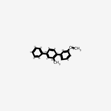 COc1[c]ccc(-c2ccc(-c3ccccc3)cc2C)c1